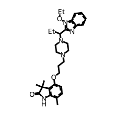 CCOn1c(C(CC)N2CCN(CCCOc3ccc(C)c4c3C(C)(C)C(=O)N4)CC2)nc2ccccc21